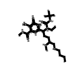 CCCCOCC(CCC(c1nc(C(=O)OC)c(O)c(=O)[nH]1)N(CC)C(=O)OC(C)(C)C)OC